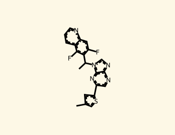 Cc1csc(-c2cnc3ncn(C(C)c4c(F)cc5ncccc5c4F)c3n2)c1